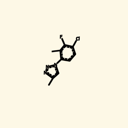 Cc1cn(-c2ccc(Cl)c(F)c2C)nn1